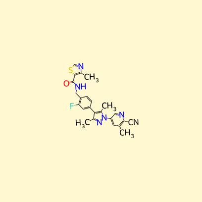 Cc1cc(-n2nc(C)c(-c3ccc(CNC(=O)c4scnc4C)c(F)c3)c2C)cnc1C#N